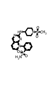 CS(=O)(=O)N1CCC(Nc2ncc3ccc(=O)n(-c4ccccc4S(N)(=O)=O)c3n2)CC1